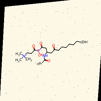 CCCCCCCCCCCCCCCCC(=O)CC(CC(=O)P(O)C(=O)CC[N+](C)(C)C)NC(=O)CCC